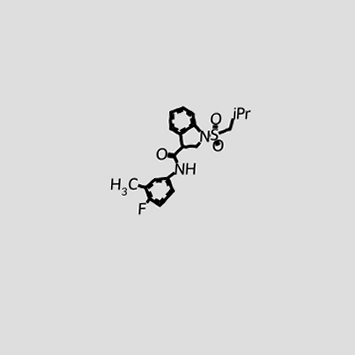 Cc1cc(NC(=O)C2CN(S(=O)(=O)CC(C)C)c3ccccc32)ccc1F